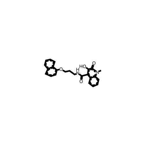 Cn1c(=O)c(O)c(C(=O)NCCCOc2cccc3ccccc23)c2ccccc21